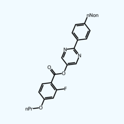 CCCCCCCCCc1ccc(-c2ncc(OC(=O)c3ccc(OCCC)cc3F)cn2)cc1